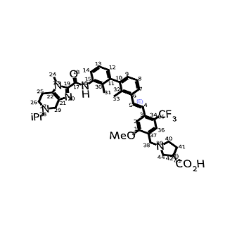 COc1cc(/C=C/c2cccc(-c3cccc(NC(=O)c4nc5c(n4C)CCN(C(C)C)C5)c3C)c2C)c(C(F)(F)F)cc1CN1CC[C@@H](C(=O)O)C1